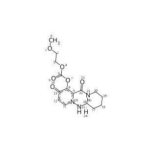 COCCOC(=O)Oc1c2n(ccc1=O)N[C@@H]1CCCCN1C2=O